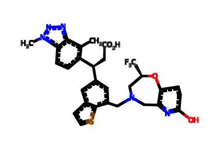 Cc1c([C@@H](CC(=O)O)c2cc(CN3Cc4nc(O)ccc4O[C@H](C(F)(F)F)C3)c3sccc3c2)ccc2c1nnn2C